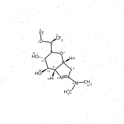 CCO[C@H](C1O[C@@H]2SC(N(C)C)=N[C@@H]2[C@@H](O)[C@@H]1O)C(F)(F)F